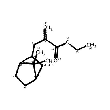 C=C(CC1CC2CCC1C2(C)C)C(=O)OCC